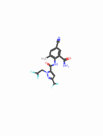 Cc1cc(C#N)cc(C(N)=O)c1NC(=O)c1cc(C(F)F)nn1CC(F)F